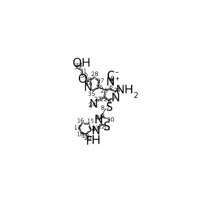 [C-]#[N+]c1c(N)nc(SCc2csc(Nc3ccccc3F)n2)c(C#N)c1-c1ccc(OCCO)nc1